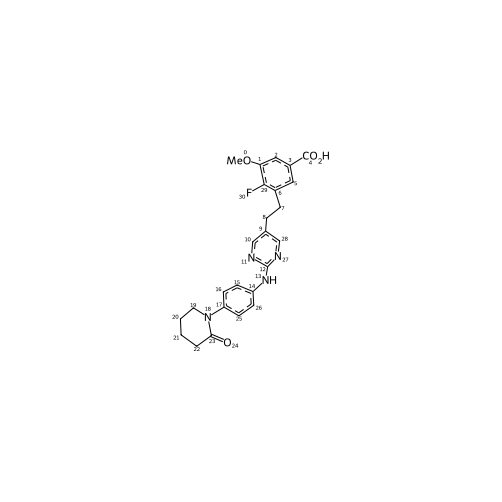 COc1cc(C(=O)O)cc(CCc2cnc(Nc3ccc(N4CCCCC4=O)cc3)nc2)c1F